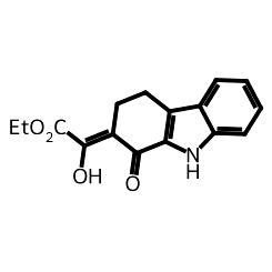 CCOC(=O)C(O)=C1CCc2c([nH]c3ccccc23)C1=O